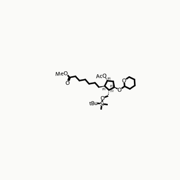 COC(=O)CCCCCC[C@@H]1[C@@H](CO[Si](C)(C)C(C)(C)C)[C@H](OC2CCCCO2)C[C@H]1OC(C)=O